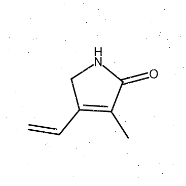 C=CC1=C(C)C(=O)NC1